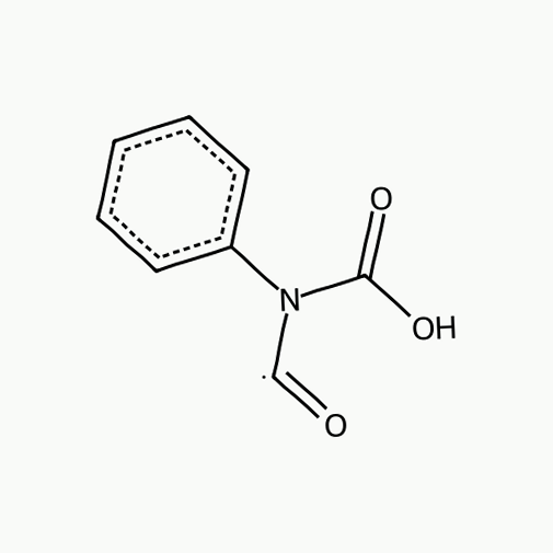 O=[C]N(C(=O)O)c1ccccc1